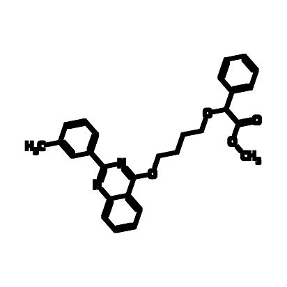 COC(=O)C(OCCCCOc1nc(-c2cccc(C)c2)nc2ccccc12)c1ccccc1